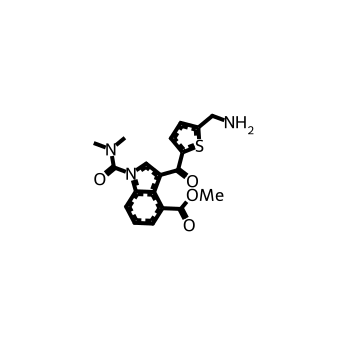 COC(=O)c1cccc2c1c(C(=O)c1ccc(CN)s1)cn2C(=O)N(C)C